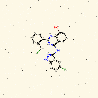 Oc1cccc2c(Nc3n[nH]c4ccc(F)cc34)nc(-c3ccccc3CF)nc12